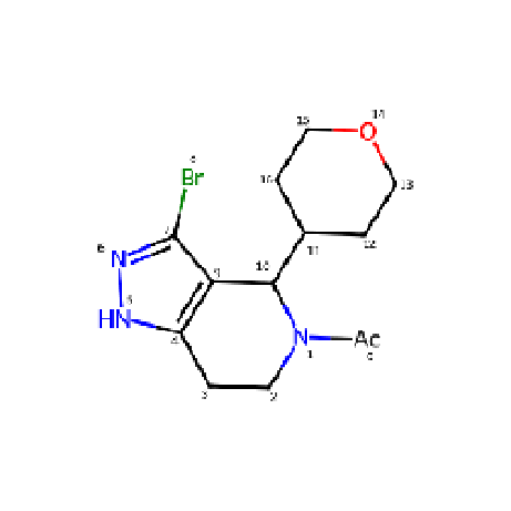 CC(=O)N1CCc2[nH]nc(Br)c2C1C1CCOCC1